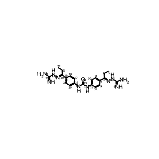 CC/C(=N\NC(=N)N)c1ccc(NC(=O)Nc2ccc(/C(CC)=N/NC(=N)N)cc2)cc1